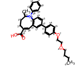 CCCCOCCOc1ccc(-c2ccc3c(c2)/C=C(/C(=O)O)CCC(C)N3c2ccccc2)cc1